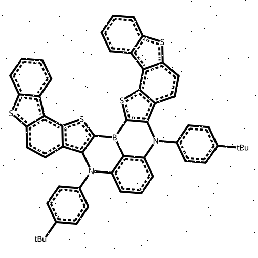 CC(C)(C)c1ccc(N2c3cccc4c3B(c3sc5c(ccc6sc7ccccc7c65)c32)c2sc3c(ccc5sc6ccccc6c53)c2N4c2ccc(C(C)(C)C)cc2)cc1